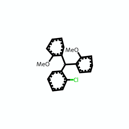 COc1ccccc1[C](c1ccccc1Cl)c1ccccc1OC